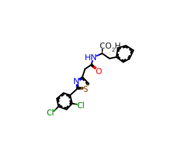 O=C(Cc1csc(-c2ccc(Cl)cc2Cl)n1)N[C@H](Cc1ccccc1)C(=O)O